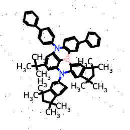 CC(C)(C)c1cc2c3c(c1)N(c1ccc4c(c1)C(C)(C)CC4(C)C)c1cc4c(cc1B3c1cc(-c3ccccc3)ccc1N2c1ccc(-c2ccccc2)cc1)C(C)(C)CC4(C)C